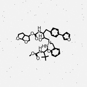 COC(=O)NC(C(=O)NN(Cc1ccccc1)CC(O)C(Cc1ccc(-c2ccoc2)cc1)NC(=O)OC1COC2OCCC12)C(C)(C)C